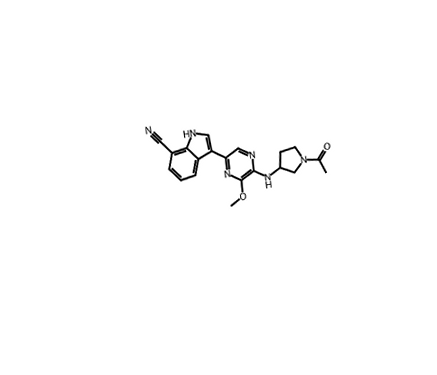 COc1nc(-c2c[nH]c3c(C#N)cccc23)cnc1NC1CCN(C(C)=O)C1